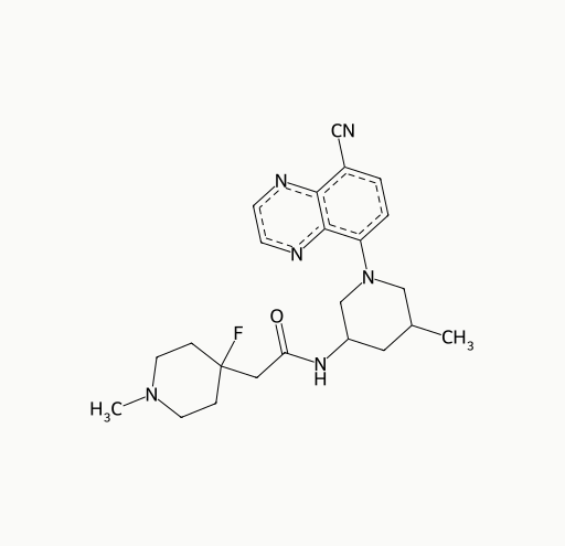 CC1CC(NC(=O)CC2(F)CCN(C)CC2)CN(c2ccc(C#N)c3nccnc23)C1